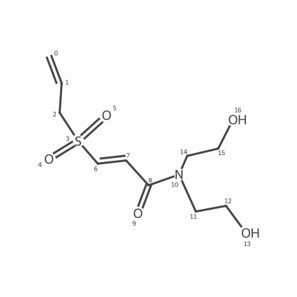 C=CCS(=O)(=O)C=CC(=O)N(CCO)CCO